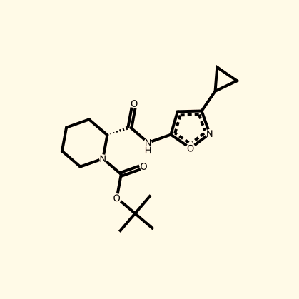 CC(C)(C)OC(=O)N1CCCC[C@@H]1C(=O)Nc1cc(C2CC2)no1